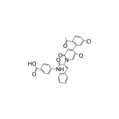 COc1cn([C@@H](Cc2ccccc2)C(=O)Nc2ccc(C(=O)O)cc2)c(=O)cc1-c1cc(Cl)ccc1C(C)=O